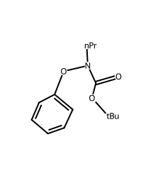 CCCN(Oc1ccccc1)C(=O)OC(C)(C)C